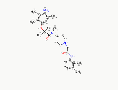 Cc1cccc(NC(=O)CN2CCC(N(C)C(=O)C(C)(C)Oc3cc(C)c(N)c(C)c3C)CC2)c1C